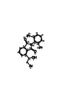 CC(=O)CC(O)c1cccc2c1C(=O)N(c1c(C(C)C)cccc1C(C)C)C2=O